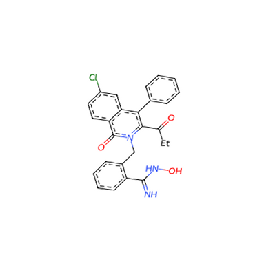 CCC(=O)c1c(-c2ccccc2)c2cc(Cl)ccc2c(=O)n1Cc1ccccc1C(=N)NO